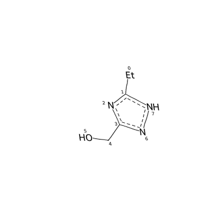 CCc1nc(CO)n[nH]1